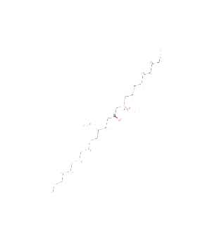 CCCCCCCCCCCC(O)CCC(=O)CC(O)CCCCCCCCC